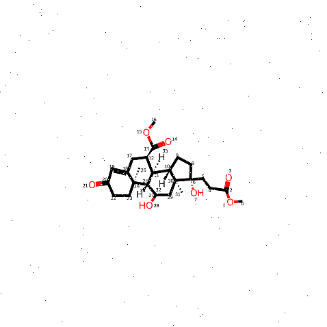 COC(=O)CC[C@]1(O)CC[C@H]2[C@@H]3[C@H](C(=O)OC)CC4=CC(=O)CC[C@]4(C)[C@H]3C(O)C[C@@]21C